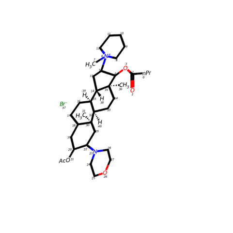 CCCC(=O)OC1C([N+]2(C)CCCCC2)C[C@H]2[C@@H]3CCC4CC(OC(C)=O)C(N5CCOCC5)C[C@]4(C)[C@@H]3CC[C@]12C.[Br-]